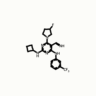 N=Cc1c(Nc2cccc(C(F)(F)F)c2)nc(NC2CCC2)nc1N1CCC(F)C1